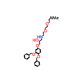 CNCCOCCOCCNC[C@@H](O)COc1ccc(OCc2ccccc2)c(OCc2ccccc2)c1